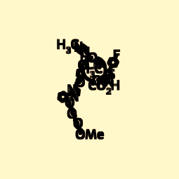 COCCOCCOCCOc1ccccc1-c1nccc(COc2ccc3cc2CC(C(=O)O)Oc2ncnc4sc(-c5ccc(F)cc5)c(c24)-c2ccc(c(Cl)c2C)O[C@H](CN2CCN(C)CC2)CO3)n1